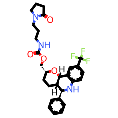 O=C(NCCCN1CCCC1=O)OC[C@H]1CC[C@@H]2[C@H](O1)c1cc(C(F)(F)F)ccc1N[C@H]2c1ccccc1